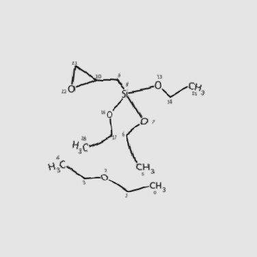 CCOCC.CCO[Si](CC1CO1)(OCC)OCC